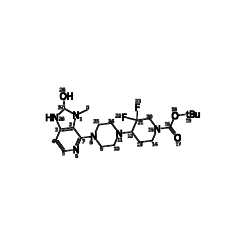 CN1c2c(ccnc2N2CCN(C3CCN(C(=O)OC(C)(C)C)CC3(F)F)CC2)NC1O